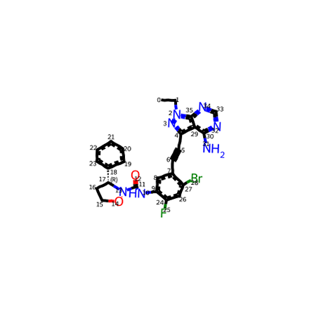 CCn1nc(C#Cc2cc(NC(=O)N3OCC[C@@H]3c3ccccc3)c(F)cc2Br)c2c(N)ncnc21